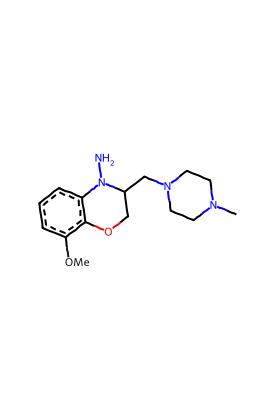 COc1cccc2c1OCC(CN1CCN(C)CC1)N2N